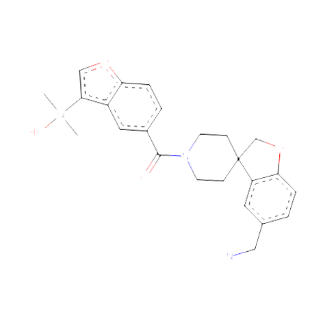 C[Si](C)(O)c1coc2ccc(C(=O)N3CCC4(CC3)COc3ccc(CN)cc34)cc12